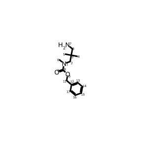 CN(CC(C)(C)CN)C(=O)OCc1ccccc1